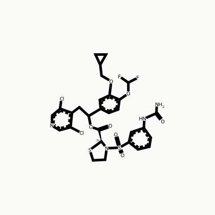 NC(=O)Nc1cccc(S(=O)(=O)N2CCS[C@H]2C(=O)OC(Cc2c(Cl)cncc2Cl)c2ccc(OC(F)F)c(OCC3CC3)c2)c1